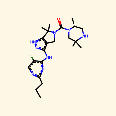 CCCc1ncc(F)c(Nc2n[nH]c3c2CN(C(=O)N2CC(C)(C)NC[C@@H]2C)C3(C)C)n1